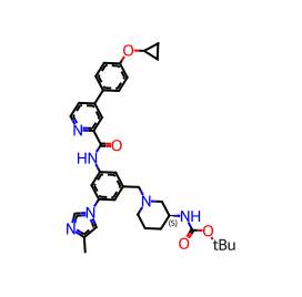 Cc1cn(-c2cc(CN3CCC[C@H](NC(=O)OC(C)(C)C)C3)cc(NC(=O)c3cc(-c4ccc(OC5CC5)cc4)ccn3)c2)cn1